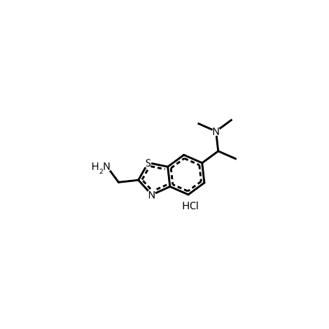 CC(c1ccc2nc(CN)sc2c1)N(C)C.Cl